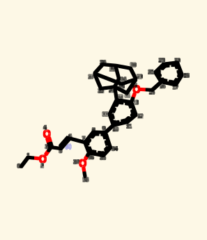 CCOC(=O)/C=C/c1cc(-c2ccc(OCc3ccccc3)c(C34CC5CC(CC(C5)C3)C4)c2)ccc1OC